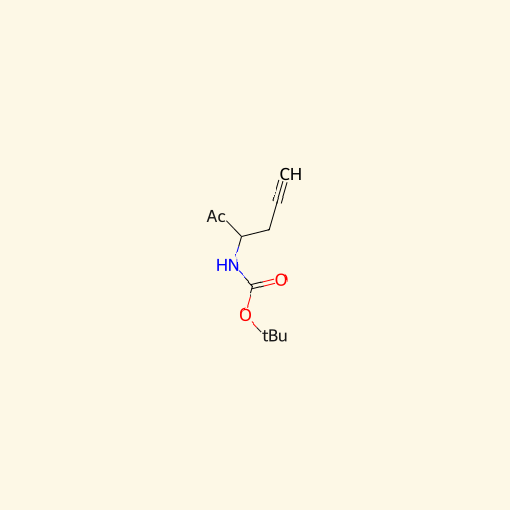 C#CCC(NC(=O)OC(C)(C)C)C(C)=O